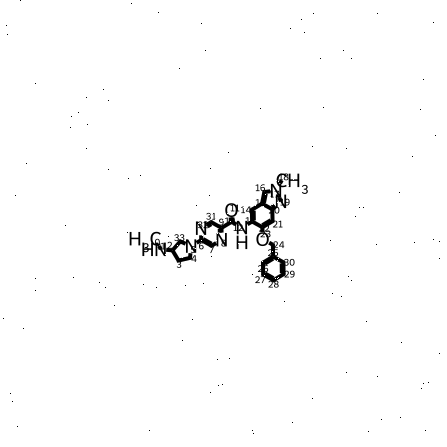 CNC1CCN(c2cnc(C(=O)Nc3cc4cn(C)nc4cc3OCc3ccccc3)cn2)C1